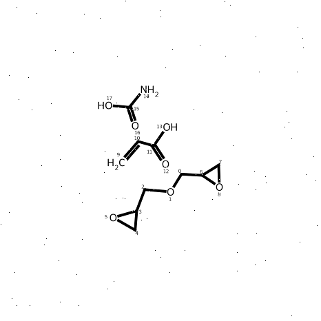 C(OCC1CO1)C1CO1.C=CC(=O)O.NC(=O)O